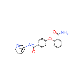 NC(=O)c1ccccc1Oc1ccc(C(=O)NC2CC3CCN(CC3)C2)cc1